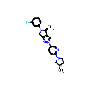 C=C1c2cn(-c3ccc(N4CC[C@H](C)C4)nc3)nc2CN1c1cccc(F)c1